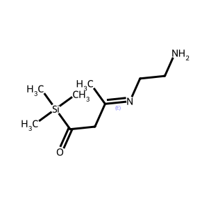 C/C(CC(=O)[Si](C)(C)C)=N\CCN